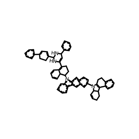 C1=CC2=C(C3=CC(c4ccccc4)NC(C4=CC=C(c5ccccc5)CC4)N3)CCC(n3c4ccccc4c4cc5cc(N6C7=C(c8ccccc8CC7)C7CCC=CC76)ccc5cc43)C2C=C1